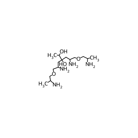 CC(N)COCC(N)CC(O)(CC(N)COCC(C)N)C(C)O